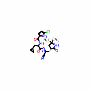 CC1(C)C[C@@H](CC(C#N)NC(=O)C(CC2CC2)NC(=O)c2ccc(Cl)[nH]2)C(=O)N1